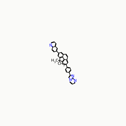 CC1(C)c2cc(-c3ccc(-c4cn5cccnc5n4)cc3)cc3ccc4cc(-c5ccc6ncccc6c5)cc1c4c23